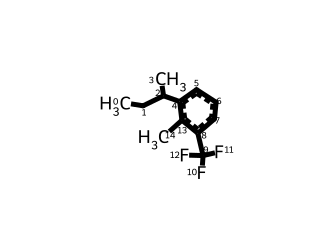 CCC(C)c1cccc(C(F)(F)F)c1C